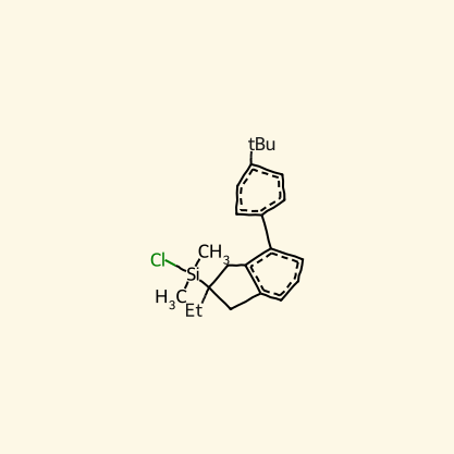 CCC1([Si](C)(C)Cl)Cc2cccc(-c3ccc(C(C)(C)C)cc3)c2C1